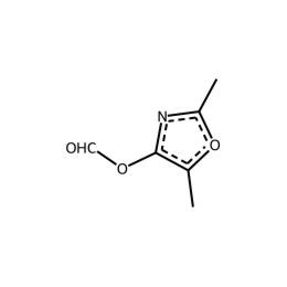 Cc1nc(OC=O)c(C)o1